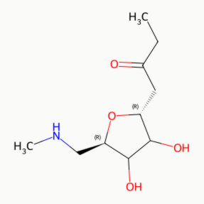 CCC(=O)C[C@H]1O[C@H](CNC)C(O)C1O